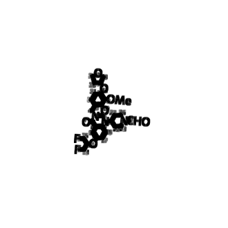 COc1cc(Cn2c(=O)c3cc(OC(CF)CF)ccc3n(C3CCN(C=O)CC3)c2=O)ccc1OC1CCOC1